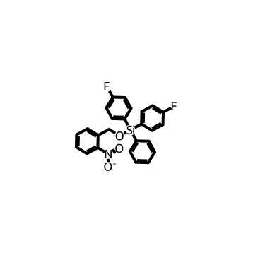 O=[N+]([O-])c1ccccc1CO[Si](c1ccccc1)(c1ccc(F)cc1)c1ccc(F)cc1